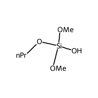 CCCO[Si](O)(OC)OC